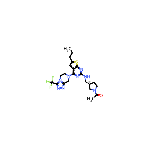 CCCc1cc2c(N3CCn4c(nnc4C(F)(F)F)C3)nc(NC[C@H]3CCN(C(C)=O)C3)nc2s1